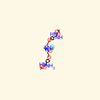 Cc1cn(CCCCOc2ccc(C(N)NC(=O)OC(C)(C)C)cc2)/c(=N\C(=O)C(F)(F)F)n1CCCCOc1ccc(C(=N)NC(=O)OC(C)(C)C)cc1